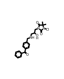 CC1(C)C(=O)N(CC(O)CNCc2ccc(C(=O)c3ccccc3)cc2)C(=O)N1Cl